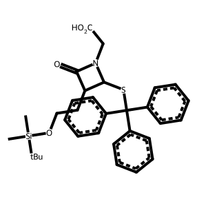 CC(C)(C)[Si](C)(C)OCCC1C(=O)N(CC(=O)O)C1SC(c1ccccc1)(c1ccccc1)c1ccccc1